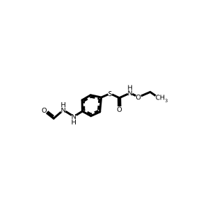 CCONC(=O)Sc1ccc(NNC=O)cc1